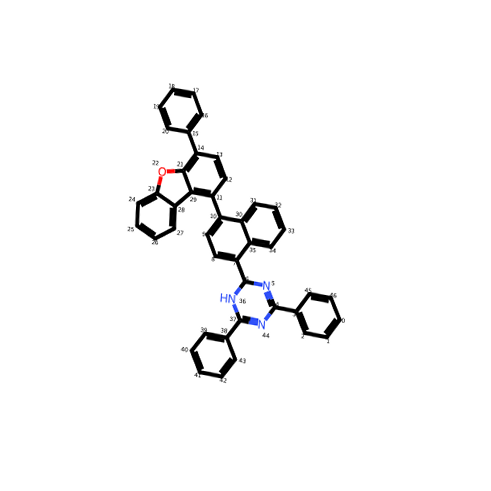 c1ccc(C2=NC(c3ccc(-c4ccc(-c5ccccc5)c5oc6ccccc6c45)c4ccccc34)NC(c3ccccc3)=N2)cc1